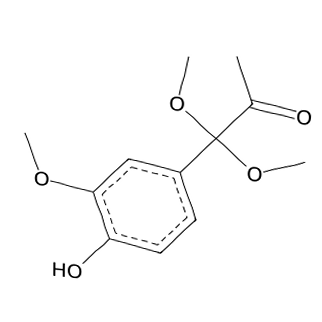 COc1cc(C(OC)(OC)C(C)=O)ccc1O